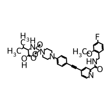 COc1cc(F)ccc1CNC(=O)c1cc(C#Cc2ccc(N3CCN(S(=O)(=O)N[C@@H](C(=O)O)C(C)C)CC3)cc2)ccn1